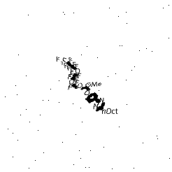 CCCCCCCCc1cnc(-c2ccc(OCC(COCC(F)(F)OC(F)(F)C(F)(F)OC(F)(F)C(F)(F)C(F)(F)C(F)(F)F)OC)cc2)nc1